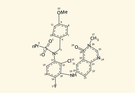 CCCS(=O)(=O)N(Cc1ccc(OC)cc1)c1ccc(F)c(Nc2ccc3ncn(C)c(=O)c3c2)c1Cl